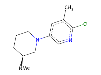 CN[C@H]1CCCN(c2cnc(Cl)c(C)c2)C1